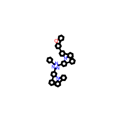 c1ccc(-c2nc(-c3ccc(-c4ccccc4)c(-n4c5ccccc5c5ccccc54)c3)nc(-c3ccc(-c4ccccc4)c(-n4c5ccccc5c5cc(-c6ccc7oc8ccccc8c7c6)ccc54)c3)n2)cc1